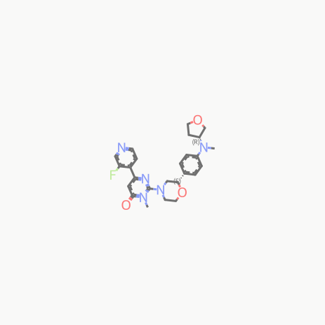 CN(c1ccc([C@H]2CN(c3nc(-c4ccncc4F)cc(=O)n3C)CCO2)cc1)[C@@H]1CCOC1